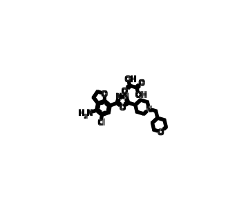 Nc1c(Cl)cc(-c2nnc(C3CCN(CC4CCOCC4)CC3)o2)c2c1CCO2.O=C(O)C(=O)O